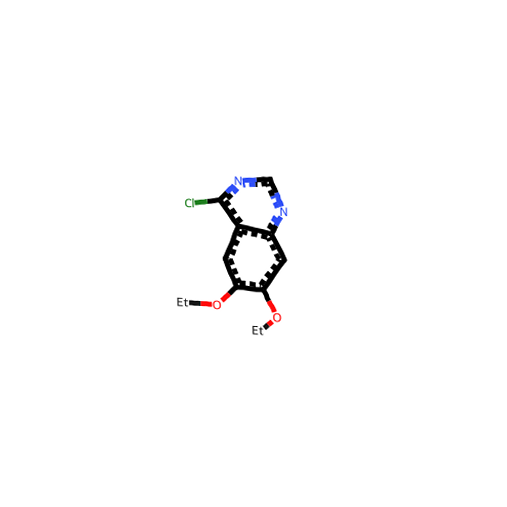 CCOc1cc2ncnc(Cl)c2cc1OCC